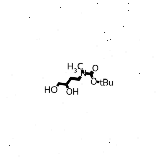 CN(CCC(O)CO)C(=O)OC(C)(C)C